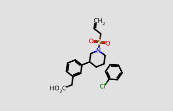 C=CCS(=O)(=O)N1CCCC(c2cccc(CC(=O)O)c2)C1.Clc1ccccc1